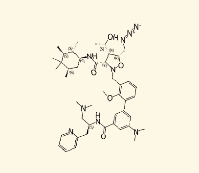 COc1c(CN2O[C@@H](CN=[N+]=[N-])[C@@H]([C@H](C)O)[C@H]2C(=O)N[C@H]2C[C@@H](C)C(C)(C)[C@@H](C)[C@@H]2C)cccc1-c1cc(C(=O)N[C@@H](Cc2ccccn2)CN(C)C)cc(N(C)C)c1